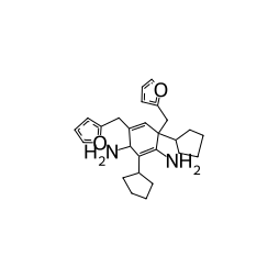 NC1=C(C2CCCC2)C(N)C(Cc2ccco2)=CC1(Cc1ccco1)C1CCCC1